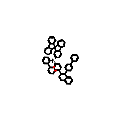 C1=CC2c3ccc(N(c4ccc(-c5ccc6ccccc6c5-c5ccc(-c6ccccc6)cc5)cc4)c4ccccc4-c4ccccc4)cc3C3(C4=CCCC=C4c4ccccc43)C2C=C1